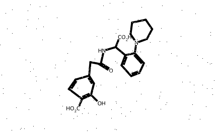 O=C(Cc1ccc(C(=O)O)c(O)c1)NC(C(=O)O)c1ccccc1N1CCCCC1